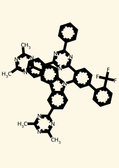 Cc1nc(C)nc(-c2ccc3c(c2)c2cc(-c4nc(C)nc(C)n4)ccc2n3-c2cc(-c3ccccc3C(F)(F)F)ccc2-c2nc(-c3ccccc3)nc(-c3ccccc3)n2)n1